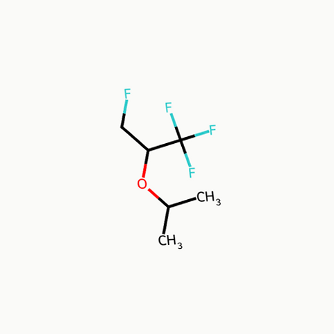 CC(C)OC(CF)C(F)(F)F